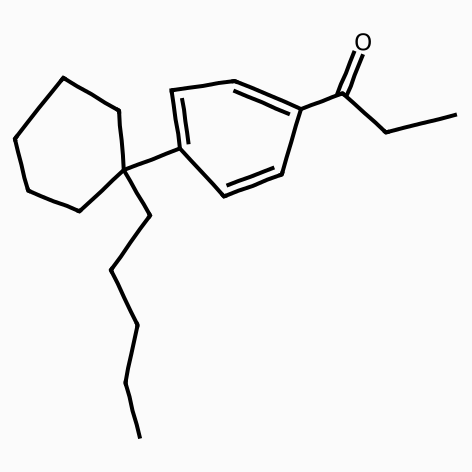 CCCCCC1(c2ccc(C(=O)CC)cc2)CCCCC1